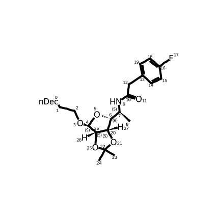 CCCCCCCCCCCCO[C@H]1O[C@H]([C@H](C)NC(=O)Cc2ccc(F)cc2)[C@@H]2OC(C)(C)O[C@H]12